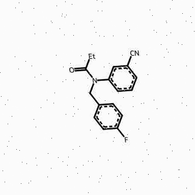 CCC(=O)N(Cc1ccc(F)cc1)c1cccc(C#N)c1